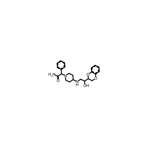 NC(=O)C(c1ccccc1)N1CCC(NCC(O)C2COc3ccccc3O2)CC1